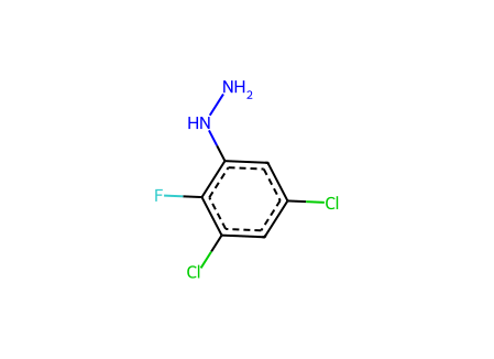 NNc1cc(Cl)cc(Cl)c1F